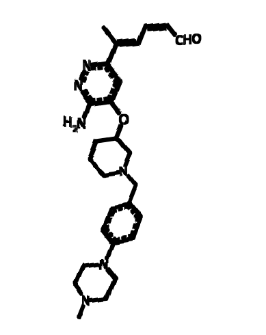 C/C(=C\C=C/C=O)c1cc(OC2CCCN(Cc3ccc(N4CCN(C)CC4)cc3)C2)c(N)nn1